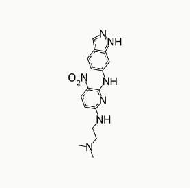 CN(C)CCNc1ccc([N+](=O)[O-])c(Nc2ccc3cn[nH]c3c2)n1